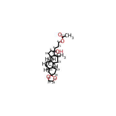 CC(=O)OCCC[C@]1(O)CC[C@H]2[C@@H]3CC[C@H]4CC5(CC[C@]4(C)[C@H]3CC[C@@]21C)OCCO5